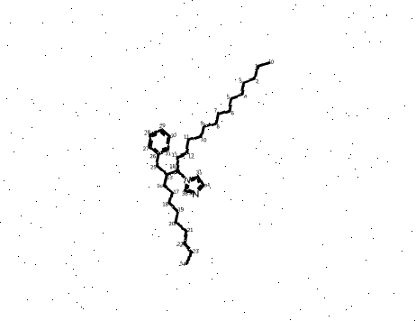 CCCCCCCCCCCCCCC(C(CCCCCCCCC)Cc1ccccc1)n1ccnc1